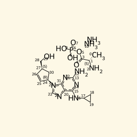 C[C@H](N)C(=O)OP(=O)(O)O.N.N.Nc1nc(NC2CC2)c2ncn([C@H]3C=C[C@@H](CO)C3)c2n1